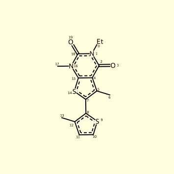 CCn1c(=O)c2c(C)c(-c3sccc3C)sc2n(C)c1=O